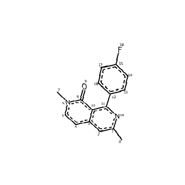 Cc1cc2ccn(C)c(=O)c2c(-c2ccc(F)cc2)n1